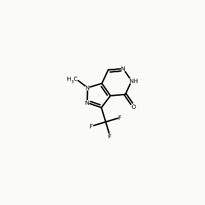 Cn1nc(C(F)(F)F)c2c(=O)[nH]ncc21